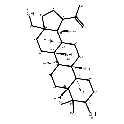 C=C(C)C1CCC2(CO)CC[C@]3(N)[C@H](CC[C@@H]4[C@@]5(C)CCC(O)C(C)(C)[C@@H]5CC[C@]43C)[C@@H]12